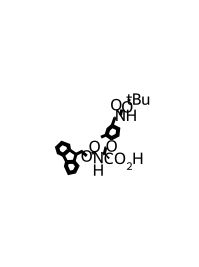 Cc1cc(CNC(=O)OC(C)(C)C)ccc1OC[C@H](NC(=O)OCC1c2ccccc2-c2ccccc21)C(=O)O